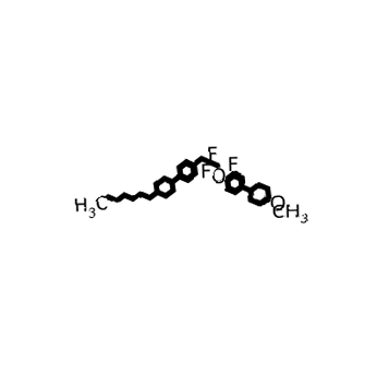 CCCCCCCC1CCC(c2ccc(CC(F)(F)COc3ccc(C4CCC(OC)CC4)cc3F)cc2)CC1